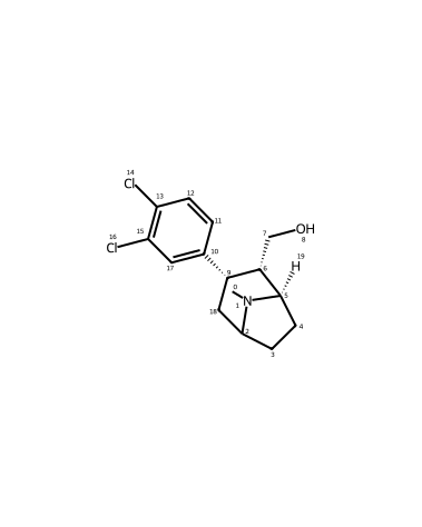 CN1C2CC[C@@H]1[C@@H](CO)[C@@H](c1ccc(Cl)c(Cl)c1)C2